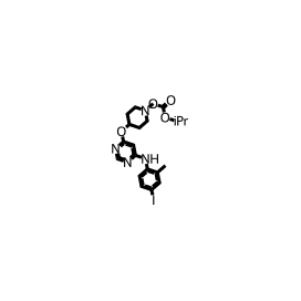 Cc1cc(I)ccc1Nc1cc(OC2CCN(OC(=O)OC(C)C)CC2)ncn1